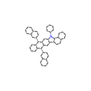 c1ccc(-n2c3cc4c(-c5ccc6ccccc6c5)c5ccccc5c(-c5ccc6ccccc6c5)c4cc3c3ccc4ccccc4c32)cc1